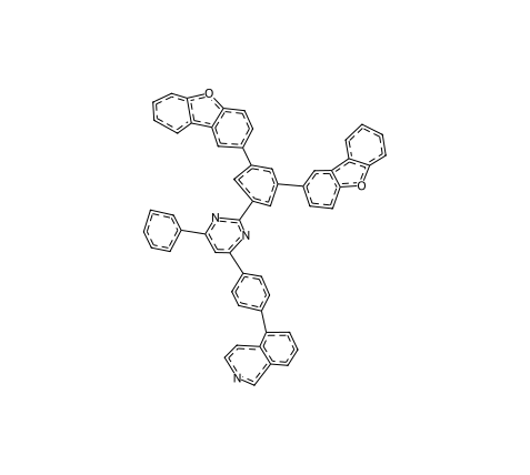 c1ccc(-c2cc(-c3ccc(-c4cccc5cnccc45)cc3)nc(-c3cc(-c4ccc5oc6ccccc6c5c4)cc(-c4ccc5oc6ccccc6c5c4)c3)n2)cc1